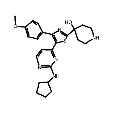 COc1ccc(-c2nc(C3(O)CCNCC3)sc2-c2ccnc(NC3CCCC3)n2)cc1